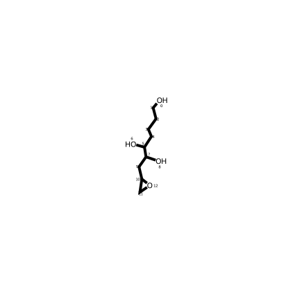 OCCCCC(O)C(O)CC1CO1